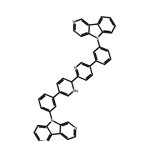 C1=CC(c2ccc(-c3cccc(-n4c5ccccc5c5cnccc54)c3)cn2)NC=C1c1cccc(-n2c3ccccc3c3ccncc32)c1